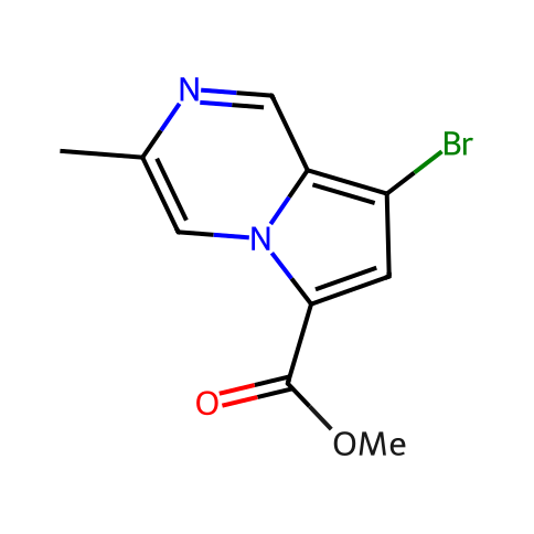 COC(=O)c1cc(Br)c2cnc(C)cn12